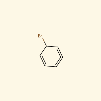 BrC1C=C=CC=C1